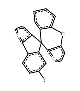 Clc1ccc2c(c1)C1(c3ccccc3Oc3ccccc31)c1ccccc1-2